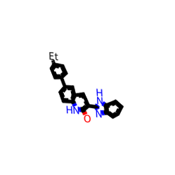 CCc1ccc(-c2ccc3[nH]c(=O)c(-c4nc5ccccc5[nH]4)cc3c2)cc1